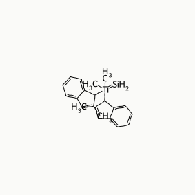 CC1=Cc2ccccc2[CH]1[Ti]([CH3])([CH3])(=[SiH2])[CH]1C(C)=Cc2ccccc21